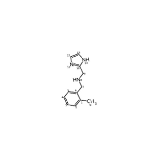 Cc1ccccc1CNCc1ncc[nH]1